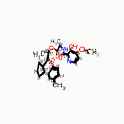 COc1ccnc(C(=O)N[C@@H](C)C(=O)O[C@@H](C)[C@H](Oc2ccc(C)cc2)C2CCCC2)c1O